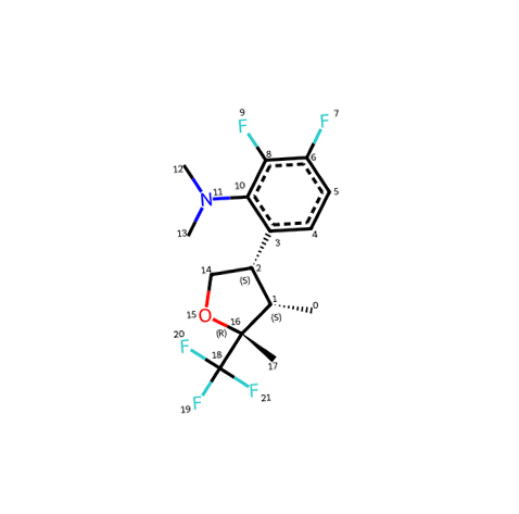 C[C@H]1[C@@H](c2ccc(F)c(F)c2N(C)C)CO[C@@]1(C)C(F)(F)F